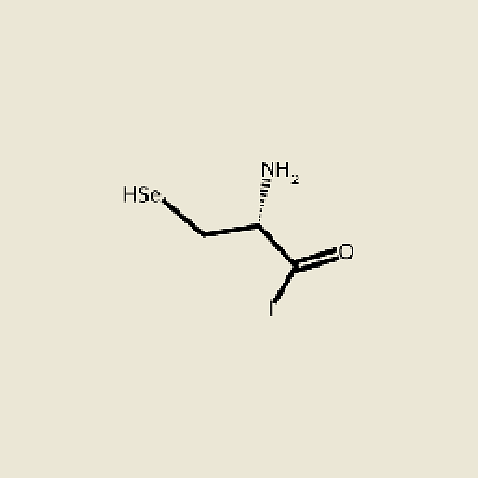 N[C@@H](C[SeH])C(=O)I